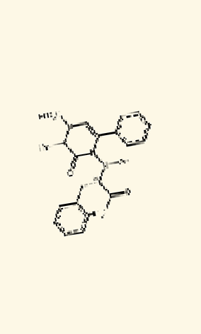 CCOC(=O)N1C=C(c2ccccc2)N(N(C(C)=O)[C@@H](Cc2ccccc2)C(=O)C(=O)O)C(=O)C1C(C)C